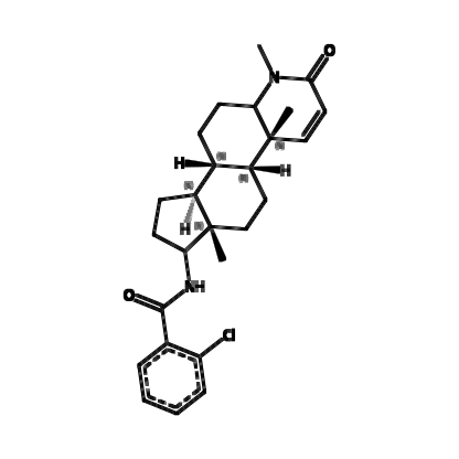 CN1C(=O)C=C[C@@]2(C)C1CC[C@@H]1[C@H]2CC[C@]2(C)C(NC(=O)c3ccccc3Cl)CC[C@@H]12